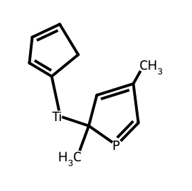 CC1=C[C](C)([Ti][C]2=CC=CC2)P=C1